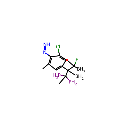 BC(C)(F)C(B)(c1cc(C)c(N=N)c(Cl)c1)C(C)(P)P